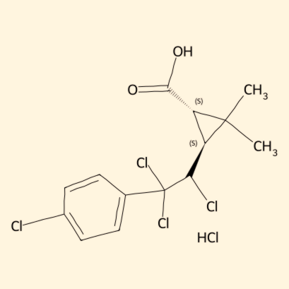 CC1(C)[C@@H](C(=O)O)[C@@H]1C(Cl)C(Cl)(Cl)c1ccc(Cl)cc1.Cl